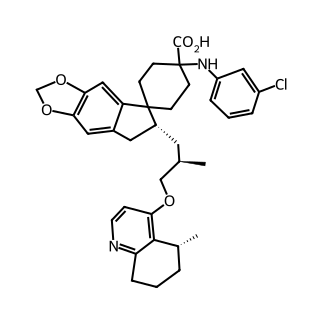 C[C@@H](COc1ccnc2c1[C@H](C)CCC2)C[C@@H]1Cc2cc3c(cc2C12CCC(Nc1cccc(Cl)c1)(C(=O)O)CC2)OCO3